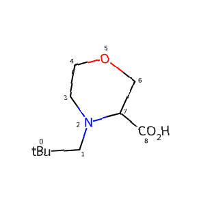 CC(C)(C)CN1CCOCC1C(=O)O